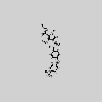 CCOC(=O)c1c(OC)c(C(=O)Nc2ccc(Oc3ccc(C(F)(F)F)cc3)cc2)cn1C